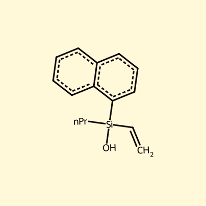 C=C[Si](O)(CCC)c1cccc2ccccc12